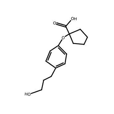 O=C(O)C1(Oc2ccc(CCCO)cc2)CCCC1